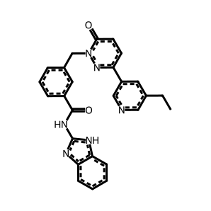 CCc1cncc(-c2ccc(=O)n(Cc3cccc(C(=O)Nc4nc5ccccc5[nH]4)c3)n2)c1